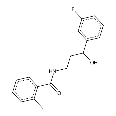 Cc1ccccc1C(=O)NCCC(O)c1cccc(F)c1